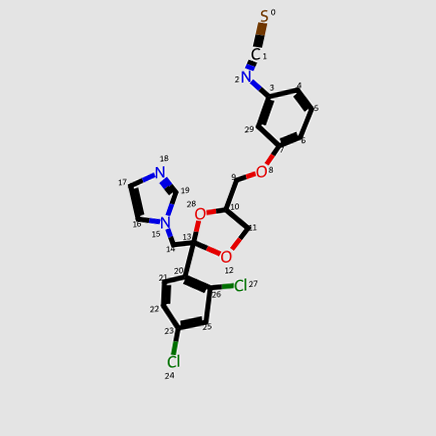 S=C=Nc1cccc(OCC2COC(Cn3ccnc3)(c3ccc(Cl)cc3Cl)O2)c1